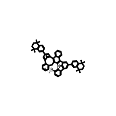 Bc1cccc2c3cc(-c4ccc5c(c4)C(C)(C)CCC5(C)C)cc4c5c6ccccc6c6c(c5n(c12)c34)Cc1ccccc1-c1cc(-c2ccc3c(c2)C(C)(C)CCC3(C)C)cc-6c1C